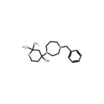 CC1(C)CC(C#N)(N2CCCN(Cc3ccccc3)CC2)CCO1